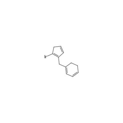 [Ir][C]1=C(CC2=CC=CCC2)C=CC1